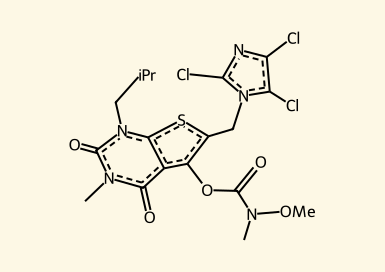 CON(C)C(=O)Oc1c(Cn2c(Cl)nc(Cl)c2Cl)sc2c1c(=O)n(C)c(=O)n2CC(C)C